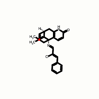 C/C=C1\[C@H]2C=C(C)C[C@]1(N=CC(Cl)=Cc1ccccc1)c1ccc(=O)[nH]c1C2